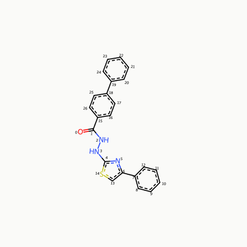 O=C(NNc1nc(-c2ccccc2)cs1)c1ccc(-c2ccccc2)cc1